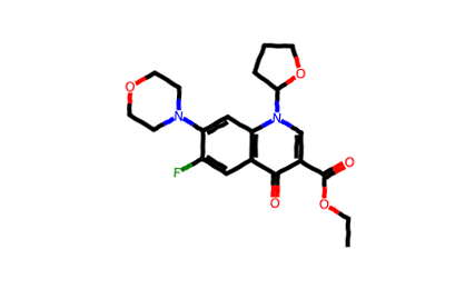 CCOC(=O)c1cn(C2CCCO2)c2cc(N3CCOCC3)c(F)cc2c1=O